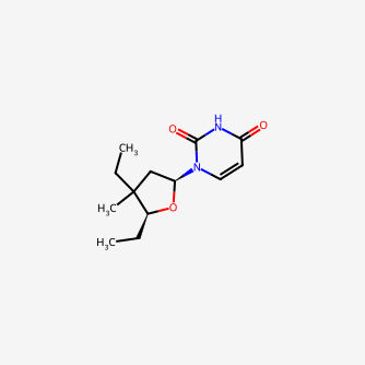 CC[C@@H]1O[C@H](n2ccc(=O)[nH]c2=O)CC1(C)CC